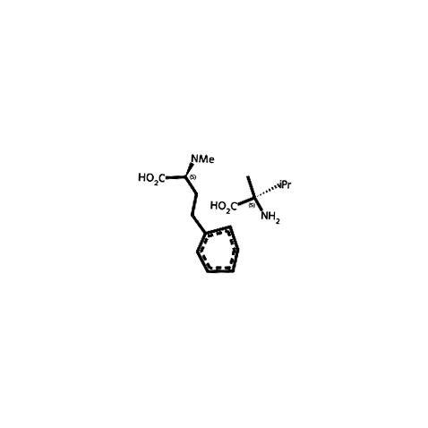 CC(C)[C@](C)(N)C(=O)O.CN[C@@H](CCc1ccccc1)C(=O)O